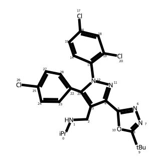 CC(C)NCc1c(-c2nnc(C(C)(C)C)o2)nn(-c2ccc(Cl)cc2Cl)c1-c1ccc(Cl)cc1